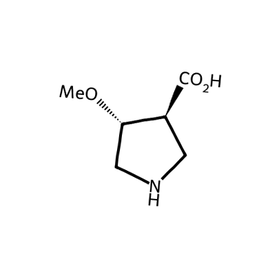 CO[C@H]1CNC[C@@H]1C(=O)O